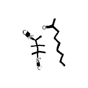 CCCCCCCC(C)=O.[C-]#[N+]C(C)C(C)(C)C(C)(C)[N+]#[C-]